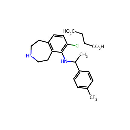 CC(Nc1c(Cl)ccc2c1CCNCC2)c1ccc(C(F)(F)F)cc1.O=C(O)CCC(=O)O